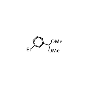 CCc1cccc(C(OC)OC)c1